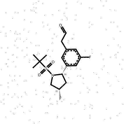 CC(C)(C)S(=O)(=O)N1C[C@@H](F)C[C@H]1c1cc(F)cc(CC=O)c1